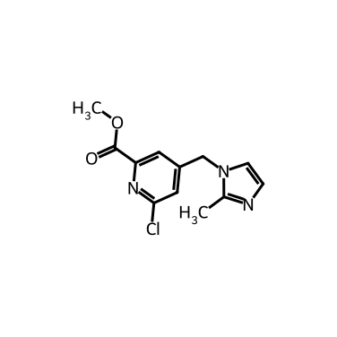 COC(=O)c1cc(Cn2ccnc2C)cc(Cl)n1